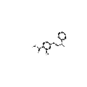 COC(=O)c1ccc(N=CN(C)c2ccccc2)cc1O